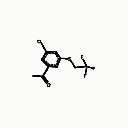 CC(=O)c1cc(Cl)cc(SCC(F)(F)F)c1